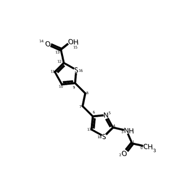 CC(=O)Nc1nc(CCc2ccc(C(=O)O)s2)cs1